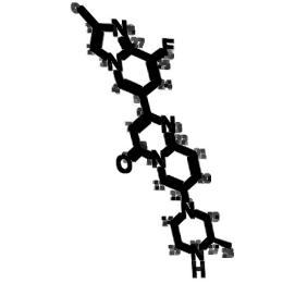 Cc1cn2cc(-c3cc(=O)n4cc(N5CCN[C@H](C)C5)ccc4n3)cc(F)c2n1